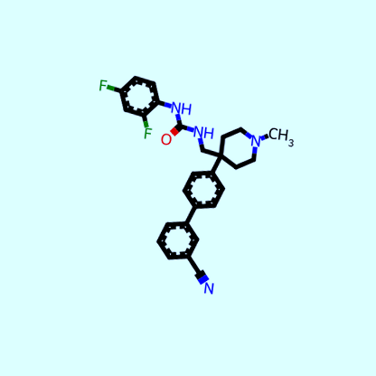 CN1CCC(CNC(=O)Nc2ccc(F)cc2F)(c2ccc(-c3cccc(C#N)c3)cc2)CC1